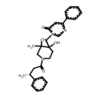 C[C@H](CC(=O)N1CCC(O)(Cn2cnc(-c3ccccc3)cc2=O)C(C)(C)C1)c1ccccc1